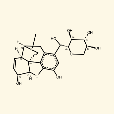 CN1CC[C@]23c4c5c(C(O)[C@H]6O[CH][C@H](O)[C@@H](O)[C@@H]6O)cc(O)c4O[C@H]2[C@@H](O)C=C[C@H]3[C@H]1C5